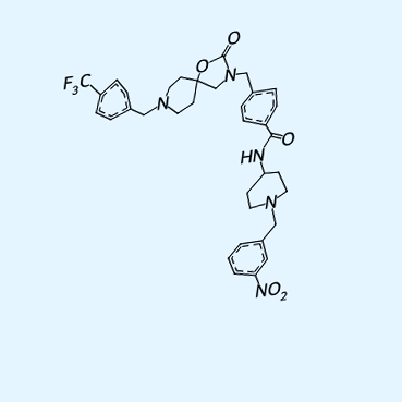 O=C(NC1CCN(Cc2cccc([N+](=O)[O-])c2)CC1)c1ccc(CN2CC3(CCN(Cc4ccc(C(F)(F)F)cc4)CC3)OC2=O)cc1